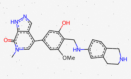 COc1cc(-c2cn(C)c(=O)c3[nH]ncc23)cc(O)c1CNc1ccc2c(c1)CCNC2